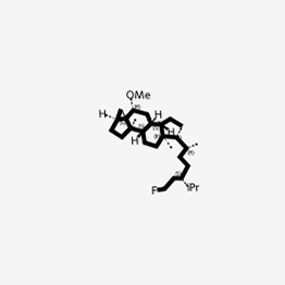 CO[C@@H]1C[C@H]2[C@@H]3CC[C@H]([C@H](C)CC[C@@H](CCF)C(C)C)[C@@]3(C)CC[C@@H]2[C@@]2(C)CC[C@H]3C[C@]312